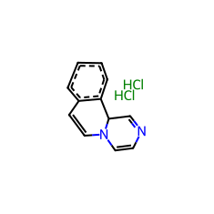 C1=CN2C=Cc3ccccc3C2C=N1.Cl.Cl